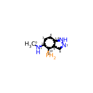 CNc1ccc2[nH]ncc2c1P